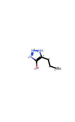 CCC(C)CCc1[nH]nnc1Br